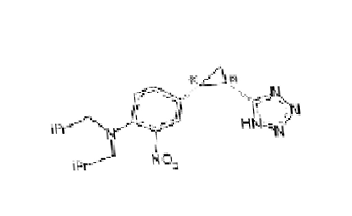 CC(C)CN(CC(C)C)c1ccc([C@@H]2C[C@@H]2c2nnn[nH]2)cc1[N+](=O)[O-]